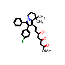 COC(=O)CC(=O)CC(O)/C=C/c1c(-c2ccc(F)cc2)c(-c2ccccc2)n2c1C(C)(C)CCC2